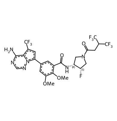 COc1cc(-c2cc(C(F)(F)F)c3c(N)ncnn23)cc(C(=O)N[C@@H]2CN(C(=O)CC(C(F)(F)F)C(F)(F)F)C[C@@H]2F)c1OC